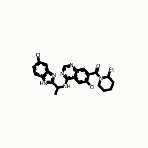 CCC1CCCCN1C(=O)c1cc2ncnc(NC(C)c3nc4cc(Cl)ccc4[nH]3)c2cc1Cl